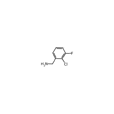 NCc1cc[c]c(F)c1Cl